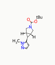 Cn1nccc1[C@H]1[C@@H]2CN(C(=O)OC(C)(C)C)C[C@@H]21